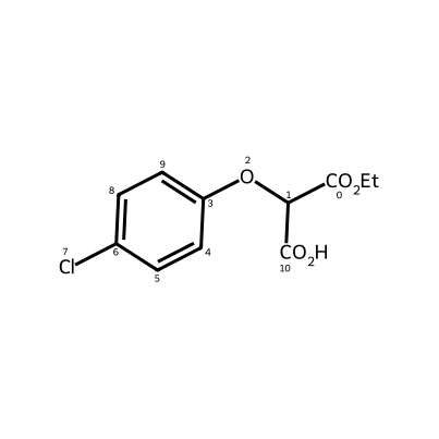 CCOC(=O)C(Oc1ccc(Cl)cc1)C(=O)O